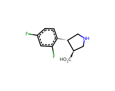 O=C(O)[C@@H]1CNC[C@H]1c1ccc(F)cc1F